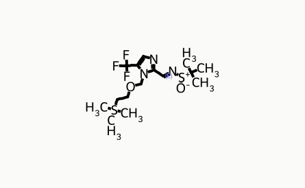 CC(C)(C)[S+]([O-])/N=C/c1ncc(C(F)(F)F)n1COCCS(C)(C)C